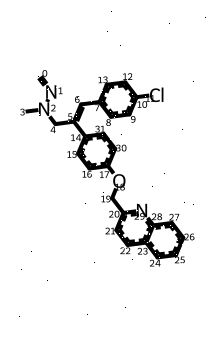 C=NN(C)C/C(=C/c1ccc(Cl)cc1)c1ccc(OCc2ccc3ccccc3n2)cc1